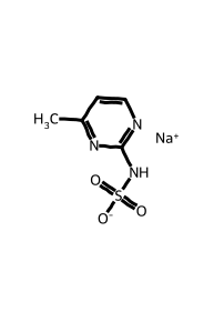 Cc1ccnc(NS(=O)(=O)[O-])n1.[Na+]